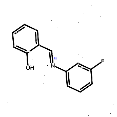 Oc1ccccc1/C=N/c1cccc(F)c1